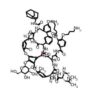 CN[C@H](CC(C)C)C(=O)N[C@H]1C(=O)N[C@@H](CC(=O)NC(=O)c2ccc(OCCCN)c(OCCCN)c2)C(=O)N[C@H]2C(=O)N[C@H]3C(=O)N[C@H](C(=O)N[C@H](C(=O)NC4C5CC6CC(C5)CC4C6)c4cc(O)cc(O)c4-c4cc3ccc4O)[C@H](O)c3ccc(c(Cl)c3)Oc3cc2cc(c3O[C@@H]2O[C@H](CO)[C@@H](O)[C@H](O)[C@H]2O)Oc2ccc(cc2C)[C@H]1O